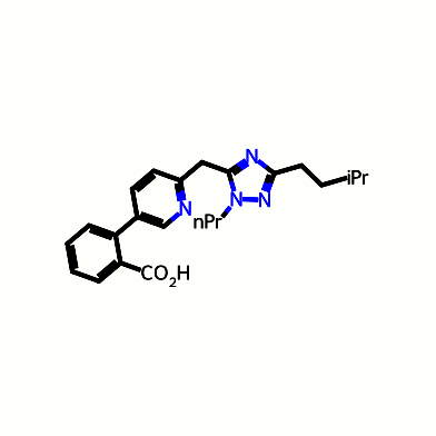 CCCn1nc(CCC(C)C)nc1Cc1ccc(-c2ccccc2C(=O)O)cn1